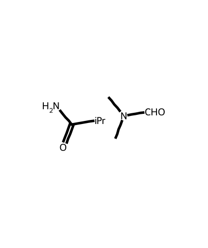 CC(C)C(N)=O.CN(C)C=O